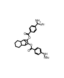 CCCCNc1ccc(C(=O)OC2C3CC(C4CCCCC43)C2OC(=O)c2ccc(C(N)CCC)cc2)cc1